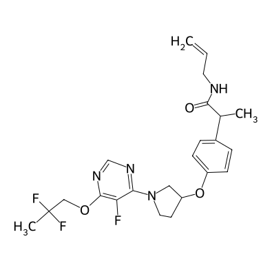 C=CCNC(=O)C(C)c1ccc(OC2CCN(c3ncnc(OCC(C)(F)F)c3F)C2)cc1